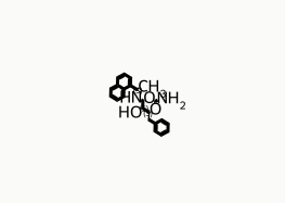 C[C@H](NC[C@H](O)[C@H](Cc1ccccc1)OC(N)=O)c1cccc2ccccc12